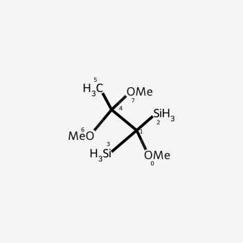 COC([SiH3])([SiH3])C(C)(OC)OC